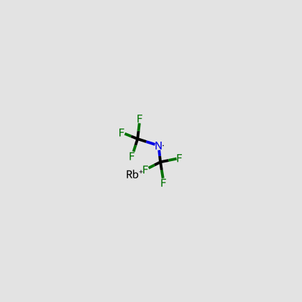 FC(F)(F)[N]C(F)(F)F.[Rb+]